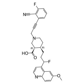 COc1ccc2nccc(C(F)CC[C@@H]3CCN(CC#Cc4cccc(F)c4C#N)C[C@@H]3C(=O)O)c2c1